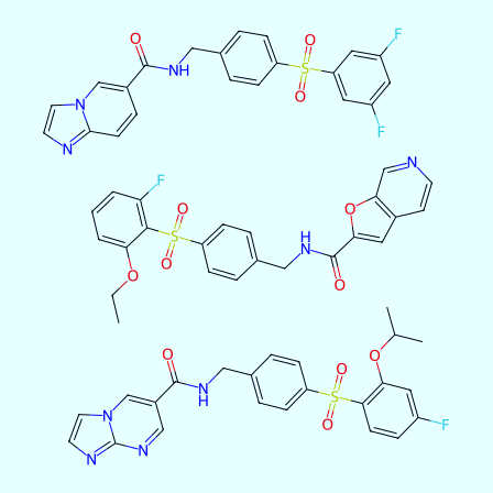 CC(C)Oc1cc(F)ccc1S(=O)(=O)c1ccc(CNC(=O)c2cnc3nccn3c2)cc1.CCOc1cccc(F)c1S(=O)(=O)c1ccc(CNC(=O)c2cc3ccncc3o2)cc1.O=C(NCc1ccc(S(=O)(=O)c2cc(F)cc(F)c2)cc1)c1ccc2nccn2c1